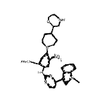 COc1cc(N2CCC(C3CNCCO3)CC2)c([N+](=O)[O-])cc1Nc1nccc(-c2cn(C)c3ccccc23)n1